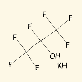 OC(F)(C(F)(F)F)C(F)(F)F.[KH]